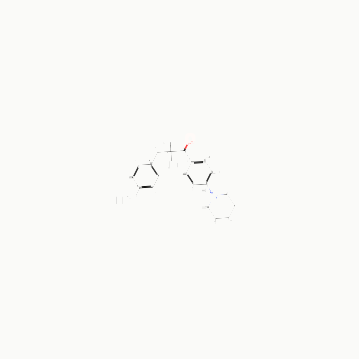 CCC(C)(Cc1ccc(C)cc1)C(=O)c1ccc(N2CCCCC2)cc1